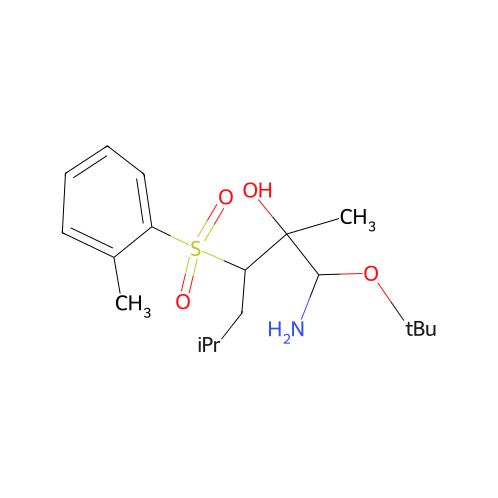 Cc1ccccc1S(=O)(=O)C(CC(C)C)C(C)(O)C(N)OC(C)(C)C